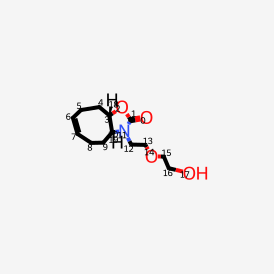 O=C1O[C@H]2CC/C=C\CC[C@@H]2N1CCOCCO